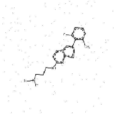 CCN(CC)CCCNc1ncc2cc(-c3c(C)cccc3Cl)ccc2n1